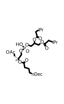 CCCCCCCCCCCCCC(=O)O[C@H](COC(C)=O)COP(=O)(O)OCC(COC(=O)CC(C)C)OC(=O)CC(C)C